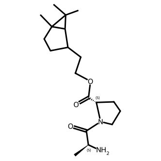 C[C@H](N)C(=O)N1CCC[C@H]1C(=O)OCCC1CCC2(C)C1C2(C)C